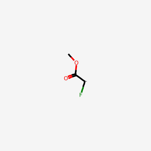 COC(=O)[CH]F